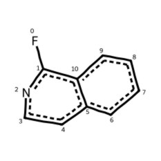 Fc1nccc2ccccc12